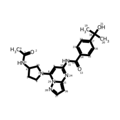 CC(=O)NC1CCN(c2cc(NC(=O)c3ccc(C(C)(C)O)cc3)nc3ccnn23)C1